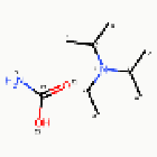 CCN(C(C)C)C(C)C.NC(=O)O